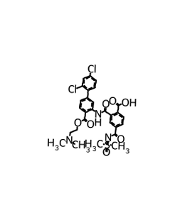 CN(C)CCOC(=O)c1ccc(-c2ccc(Cl)cc2Cl)cc1NC(=O)c1cc(C(=O)N=S(C)(C)=O)ccc1C(=O)O